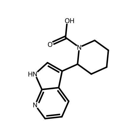 O=C(O)N1CCCCC1c1c[nH]c2ncccc12